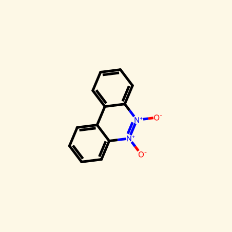 [O-][n+]1c2ccccc2c2ccccc2[n+]1[O-]